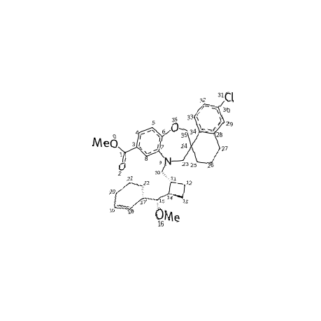 COC(=O)c1ccc2c(c1)N(C[C@@H]1CC[C@H]1[C@H](OC)[C@@H]1C=CCCC1)CC1(CCCc3cc(Cl)ccc31)CO2